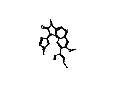 C=C/C(=C\CC)c1cc2c(cc1OC)ncc1c2n(-c2cn(C)cn2)c(=O)n1C